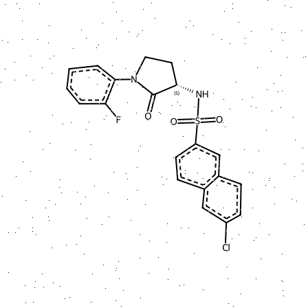 O=C1[C@@H](NS(=O)(=O)c2ccc3cc(Cl)ccc3c2)CCN1c1ccccc1F